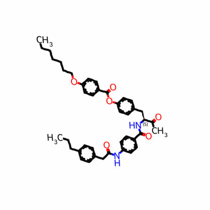 CCCCCCCOc1ccc(C(=O)Oc2ccc(C[C@H](NC(=O)c3ccc(NC(=O)Cc4ccc(CCC)cc4)cc3)C(C)=O)cc2)cc1